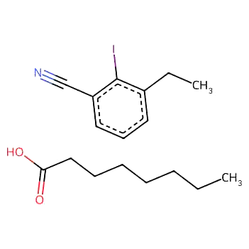 CCCCCCCC(=O)O.CCc1cccc(C#N)c1I